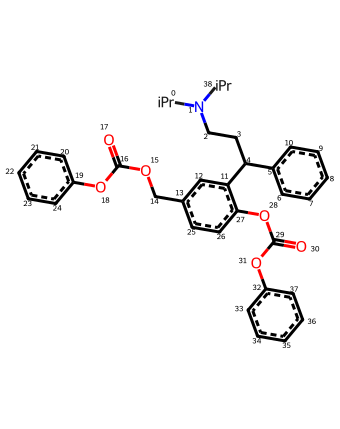 CC(C)N(CCC(c1ccccc1)c1cc(COC(=O)Oc2ccccc2)ccc1OC(=O)Oc1ccccc1)C(C)C